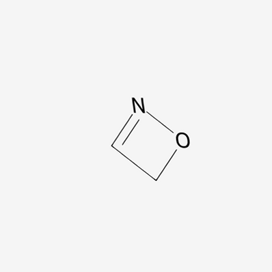 C1=NOC1